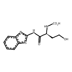 O=C(O)N[C@@H](CCO)C(=O)Nc1nc2ccccc2s1